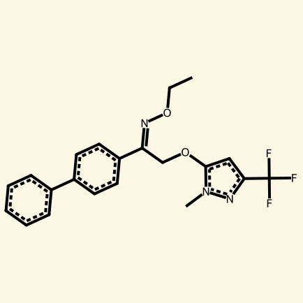 CCON=C(COc1cc(C(F)(F)F)nn1C)c1ccc(-c2ccccc2)cc1